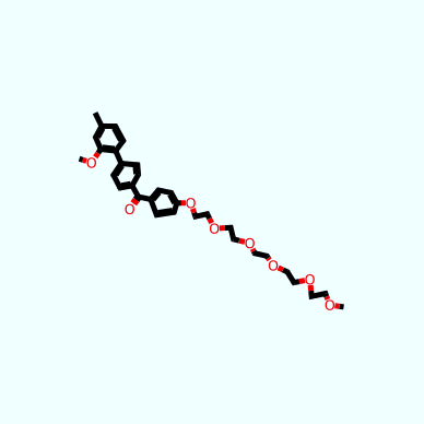 COCCOCCOCCOCCOCCOc1ccc(C(=O)c2ccc(-c3ccc(C)cc3OC)cc2)cc1